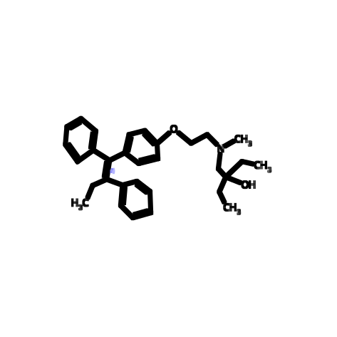 CC/C(=C(\c1ccccc1)c1ccc(OCCN(C)CC(O)(CC)CC)cc1)c1ccccc1